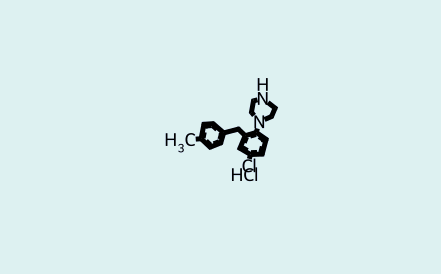 Cc1ccc(Cc2cc(Cl)ccc2N2CCNCC2)cc1.Cl